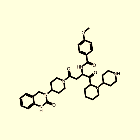 COc1ccc(C(=O)NC(CC(=O)N2CCC(N3Cc4ccccc4NC3=O)CC2)C(=O)C2CCCCN2C2CCNCC2)cc1